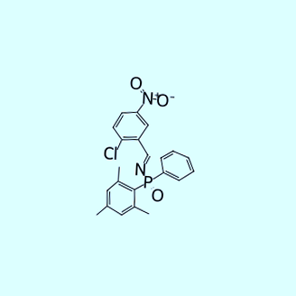 Cc1cc(C)c(P(=O)(N=Cc2cc([N+](=O)[O-])ccc2Cl)c2ccccc2)c(C)c1